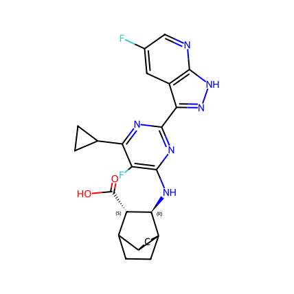 O=C(O)[C@H]1C2CCC3(CC23)[C@@H]1Nc1nc(-c2n[nH]c3ncc(F)cc23)nc(C2CC2)c1F